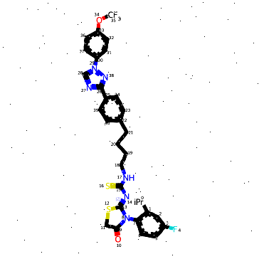 CC(C)c1cc(F)ccc1N1C(=O)CS/C1=N\C(=S)NCCCCc1ccc(-c2ncn(-c3ccc(OC(F)(F)F)cc3)n2)cc1